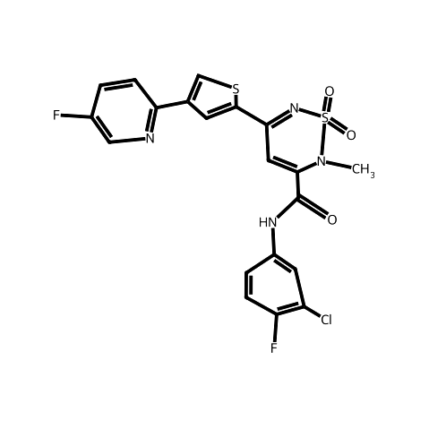 CN1C(C(=O)Nc2ccc(F)c(Cl)c2)=CC(c2cc(-c3ccc(F)cn3)cs2)=NS1(=O)=O